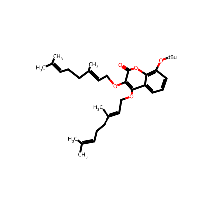 CC(C)=CCC/C(C)=C/COc1c(OC/C=C(\C)CCC=C(C)C)c2cccc(OC(C)(C)C)c2oc1=O